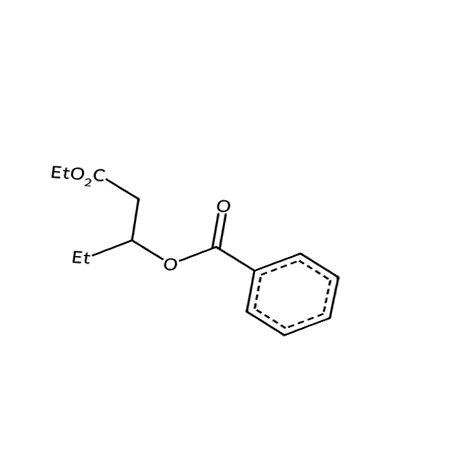 CCOC(=O)CC(CC)OC(=O)c1ccccc1